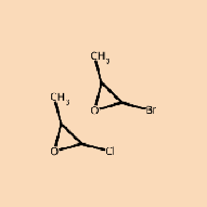 CC1OC1Br.CC1OC1Cl